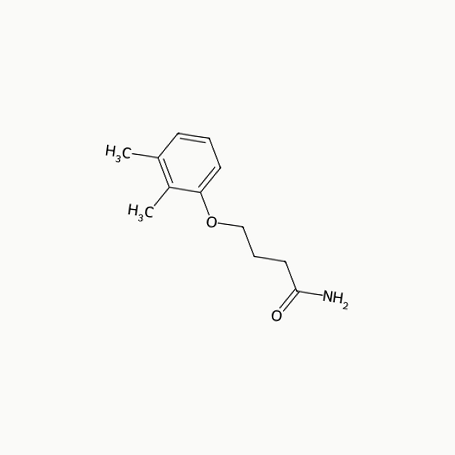 Cc1cccc(OCCCC(N)=O)c1C